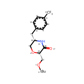 CC(C)(C)OC[C@@H]1OC[C@H](Cc2ccc(C(F)(F)F)cc2)NC1=O